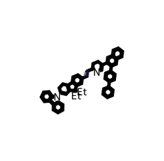 CCC1(CC)C2=C(CCC(n3c4ccccc4c4ccccc43)=C2)c2ccc(/C=C/C3=NC=C(c4cc5ccccc5cc4-c4ccc(-c5ccccc5)cc4)CC3)cc21